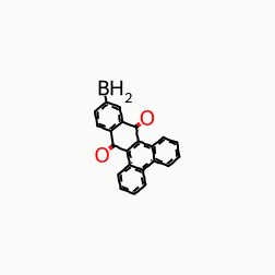 Bc1ccc2c(c1)C(=O)c1c(c3ccccc3c3ccccc13)C2=O